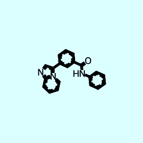 O=C(Nc1ccccc1)c1cccc(-c2cnc3ccccn23)c1